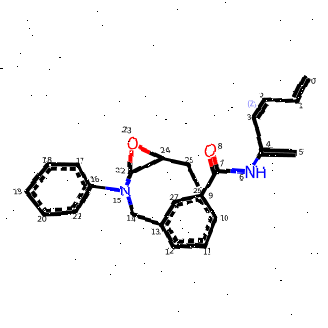 C=C/C=C\C(=C)NC(=O)c1cccc(CN(c2ccccc2)C2OC2CC)c1